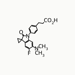 CN(C)c1cc2c(cc1F)C1(CC1)C(=O)N2c1ccc(CCC(=O)O)cc1